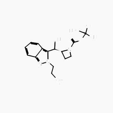 CC(C)(C)OC(=O)N1CC[C@H]1C(O)c1c2ccccc2nn1CCO